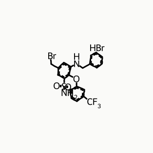 Br.NS(=O)(=O)c1cc(CBr)cc(NCc2ccccc2)c1Oc1cccc(C(F)(F)F)c1